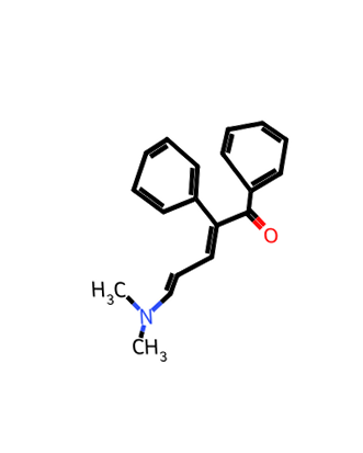 CN(C)/C=C/C=C(/C(=O)c1ccccc1)c1ccccc1